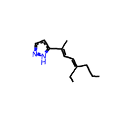 CCC/C(=C/C=C(\C)c1ccn[nH]1)CC